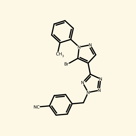 Cc1ccccc1-n1ncc(-c2nnn(Cc3ccc(C#N)cc3)n2)c1Br